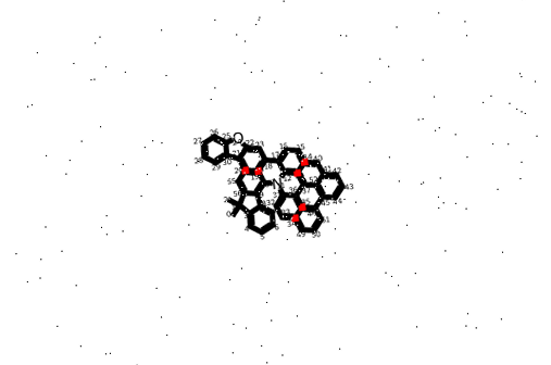 CC1(C)c2ccccc2-c2c(N(c3ccccc3-c3ccc4c(c3)oc3ccccc34)c3ccccc3-c3cccc4cccc(-c5ccccc5)c34)cccc21